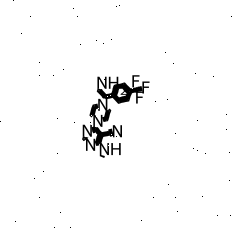 CNc1ncnc(N2CCN(C(CN)c3ccc(C(F)(F)F)cc3)CC2)c1C#N